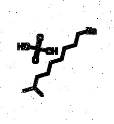 CC(C)CCCCCC[CH2][Na].O=S(=O)(O)O